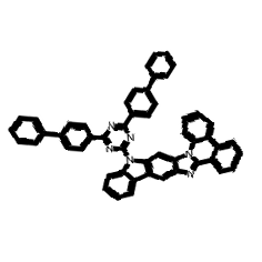 c1ccc(-c2ccc(-c3nc(-c4ccc(-c5ccccc5)cc4)nc(-n4c5ccccc5c5cc6nc7c8ccccc8c8ccccc8n7c6cc54)n3)cc2)cc1